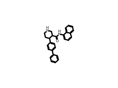 O=C(Nc1cccc2ccccc12)C1CNCCC1c1ccc(-c2ccccc2)cc1